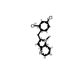 Cn1c(Cc2ccc(Cl)cc2Cl)cc2ncccc21